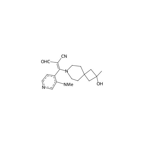 CNc1cnccc1/C(=C(/C#N)C=O)N1CCC2(CC1)CC(C)(O)C2